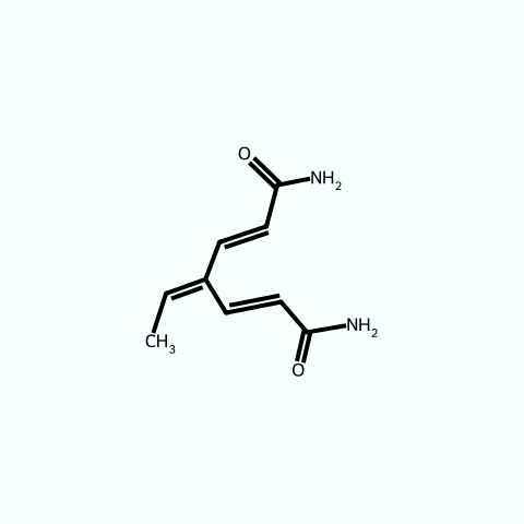 CC=C(C=CC(N)=O)C=CC(N)=O